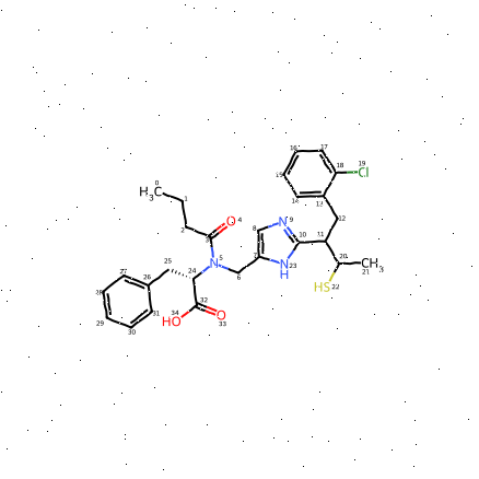 CCCC(=O)N(Cc1cnc(C(Cc2ccccc2Cl)C(C)S)[nH]1)[C@@H](Cc1ccccc1)C(=O)O